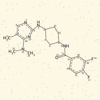 Cc1cnc(NC2CCC(NC(=O)c3ccc(F)c(F)c3)CC2)nc1N(C)C